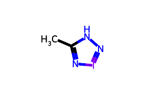 CC1=NI=NN1